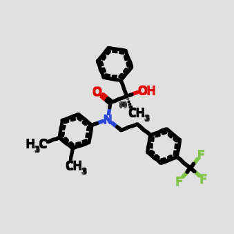 Cc1ccc(N(CCc2ccc(C(F)(F)F)cc2)C(=O)[C@](C)(O)c2ccccc2)cc1C